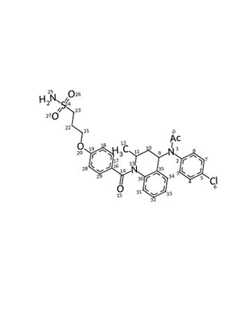 CC(=O)N(c1ccc(Cl)cc1)C1CC(C)N(C(=O)c2ccc(OCCCS(N)(=O)=O)cc2)c2ccccc21